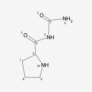 NC(=O)NC(=O)C1CCCN1